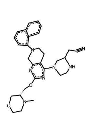 CN1CCOC[C@@H]1COc1nc2c(c(N3CCNC(CC#N)C3)n1)CCN(c1cccc3ccccc13)C2